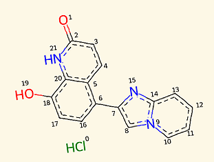 Cl.O=c1ccc2c(-c3cn4ccccc4n3)ccc(O)c2[nH]1